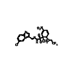 CC1(S(=O)(=O)NN=Cc2cnc3ccc(Cl)cn23)C=C([N+](=O)[O-])C=CC1OCC(F)(F)F